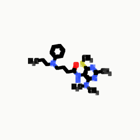 CCCN(CCCC(=O)Nc1c(SC)nc(C)nc1N(C)C)c1ccccc1